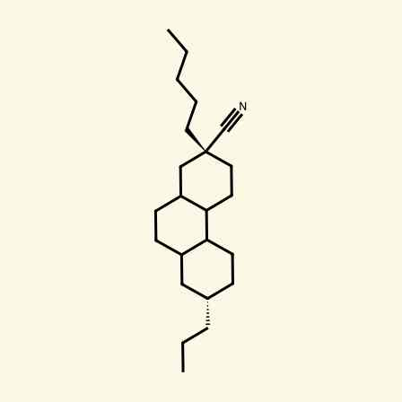 CCCCC[C@@]1(C#N)CCC2C(CCC3C[C@@H](CCC)CCC32)C1